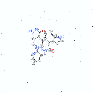 NC(=O)C1CCN(c2ncccc2CNC(=O)c2cccc3[nH]ccc23)CC1